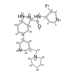 O=C(Nc1ccncc1F)c1n[nH]c2ccc(-c3cncc(CN4CCCCC4)c3)cc12